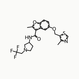 Cc1ncsc1COc1ccc2oc(C)c(C(=O)NC3CCN(CC(F)(F)F)C3)c2c1